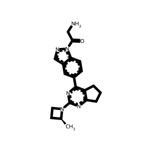 C[C@H]1CCN1c1nc2c(c(-c3ccc4c(cnn4C(=O)CN)c3)n1)CCC2